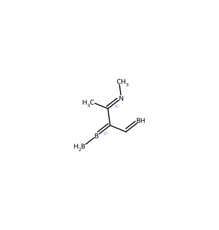 B=CC(=B\B)/C(C)=N/C